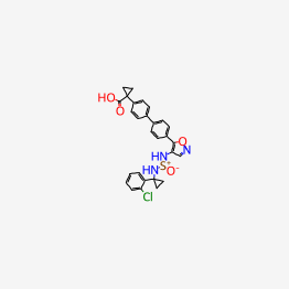 O=C(O)C1(c2ccc(-c3ccc(-c4oncc4N[S+]([O-])NC4(c5ccccc5Cl)CC4)cc3)cc2)CC1